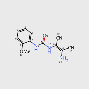 COc1ccccc1NC(=O)N/C(C#N)=C(\N)C#N